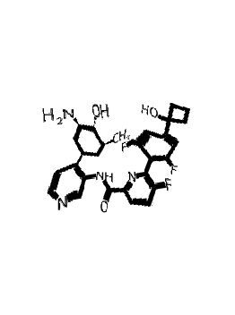 C[C@H]1C[C@@H](c2ccncc2NC(=O)c2ccc(F)c(-c3c(F)cc(C4(O)CCC4)cc3F)n2)C[C@@H](N)[C@@H]1O